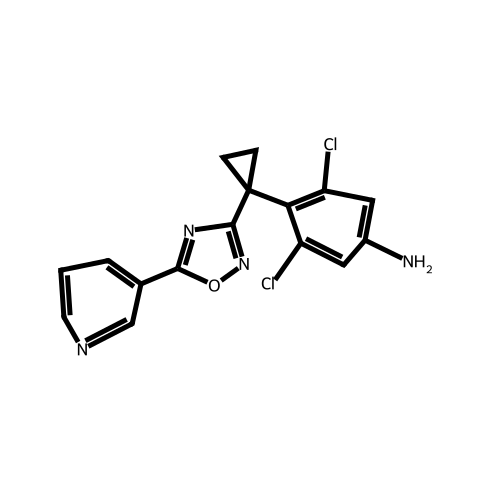 Nc1cc(Cl)c(C2(c3noc(-c4cccnc4)n3)CC2)c(Cl)c1